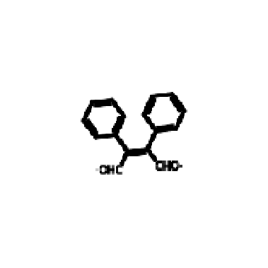 O=[C]/C(=C(\[C]=O)c1ccccc1)c1ccccc1